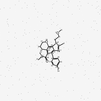 COCCn1c(C)nc2c(-c3ccc(F)cc3)c(C(=O)N(C)C)c3c(c21)OCCC3